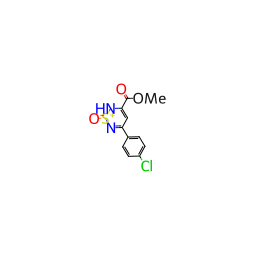 COC(=O)C1=CC(c2ccc(Cl)cc2)=N[S+]([O-])N1